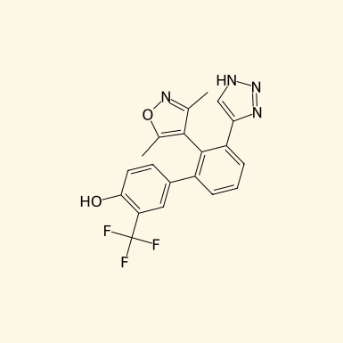 Cc1noc(C)c1-c1c(-c2ccc(O)c(C(F)(F)F)c2)cccc1-c1c[nH]nn1